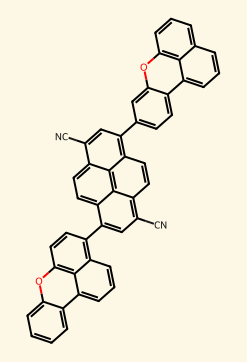 N#Cc1cc(-c2ccc3c(c2)Oc2cccc4cccc-3c24)c2ccc3c(C#N)cc(-c4ccc5c6c(cccc46)-c4ccccc4O5)c4ccc1c2c34